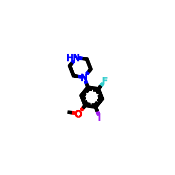 COc1cc(N2CCNCC2)c(F)cc1I